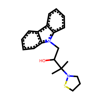 CC(C)(C(O)Cn1c2ccccc2c2ccccc21)N1CCCS1